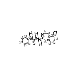 S=C(NNC1=NC=Cc2c(Cl)cccc2C1)Nc1ccccc1